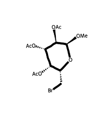 CO[C@H]1O[C@H](CBr)[C@H](OC(C)=O)[C@H](OC(C)=O)[C@H]1OC(C)=O